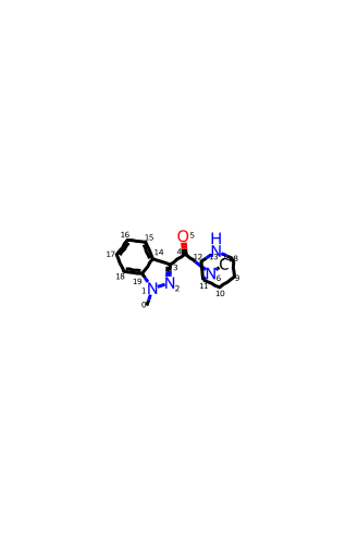 Cn1nc(C(=O)N2CC3CCC2CN3)c2ccccc21